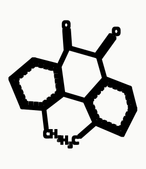 Cc1cccc2c1-c1c(C)cccc1C(=O)C2=O